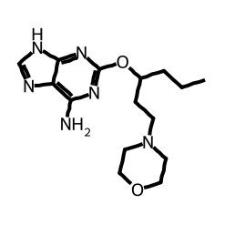 CCCC(CCN1CCOCC1)Oc1nc(N)c2nc[nH]c2n1